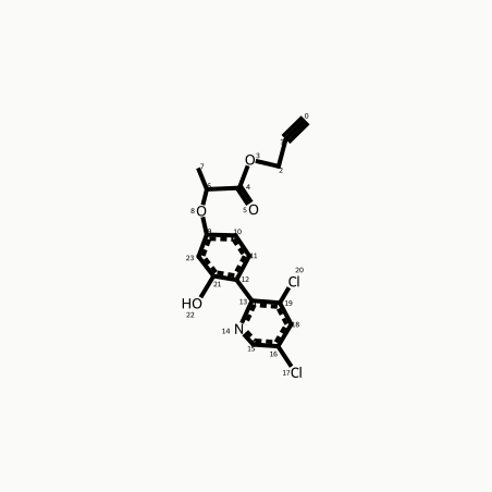 C#CCOC(=O)C(C)Oc1ccc(-c2ncc(Cl)cc2Cl)c(O)c1